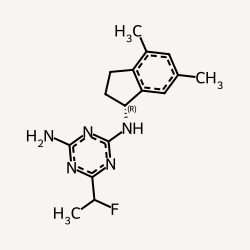 Cc1cc(C)c2c(c1)[C@H](Nc1nc(N)nc(C(C)F)n1)CC2